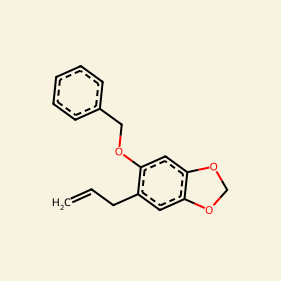 C=CCc1cc2c(cc1OCc1ccccc1)OCO2